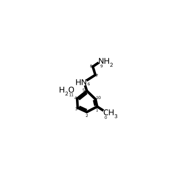 Cc1cccc(NCCN)c1.O